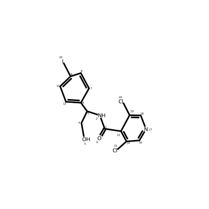 O=C(NC(CO)c1ccc(I)cc1)c1c(Cl)cncc1Cl